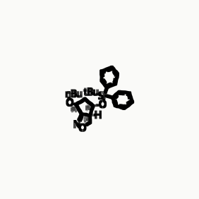 CCCCO[C@@H]1C[C@H](O[Si](c2ccccc2)(c2ccccc2)C(C)(C)C)[C@H]2CON=C12